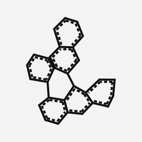 c1ccc(-c2cccc3cc4ccccc4c(-c4ccc5ccccc5c4)c23)cc1